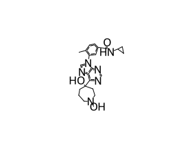 Cc1ccc(C(=O)NC2CC2)cc1-n1cnc2c(C3(O)CCCN(O)CC3)ncnc21